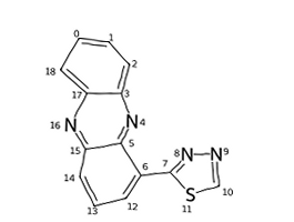 c1ccc2nc3c(-c4nncs4)cccc3nc2c1